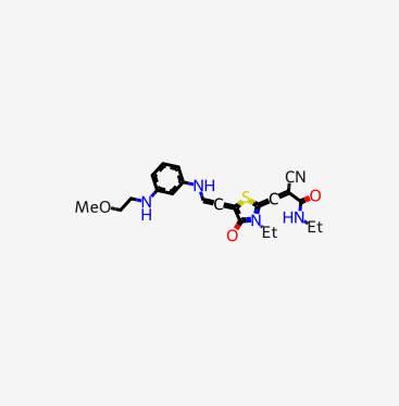 CCNC(=O)C(=C=c1sc(=C=CNc2cccc(NCCOC)c2)c(=O)n1CC)C#N